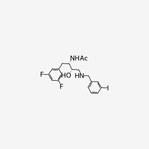 [CH2]C(=O)N[C@@H](Cc1cc(F)cc(F)c1)[C@@H](O)CNCc1cccc(I)c1